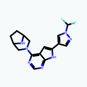 FC(F)n1cc(-c2cc3c(N4CC5CCC(C4)N5)ncnc3[nH]2)cn1